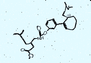 COC(=O)CC(CNC(=O)Oc1cccc(C2=CCCC[C@@H]2CN(C)C)c1)CC(C)C